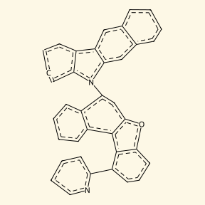 c1ccc(-c2cccc3oc4cc(-n5c6ccccc6c6cc7ccccc7cc65)c5ccccc5c4c23)nc1